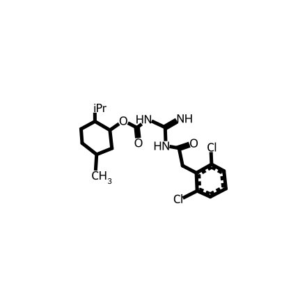 CC1CCC(C(C)C)C(OC(=O)NC(=N)NC(=O)Cc2c(Cl)cccc2Cl)C1